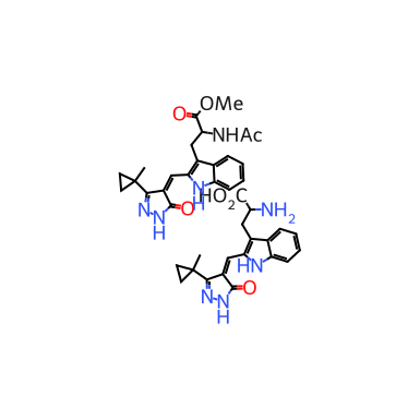 CC1(C2=NNC(=O)C2=Cc2[nH]c3ccccc3c2CC(N)C(=O)O)CC1.COC(=O)C(Cc1c(C=C2C(=O)NN=C2C2(C)CC2)[nH]c2ccccc12)NC(C)=O